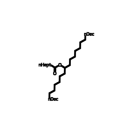 CCCCCCCCCCCCCCCCCC(CCCCCCCCCCCCCCCC)OC(=O)CCCCCCC